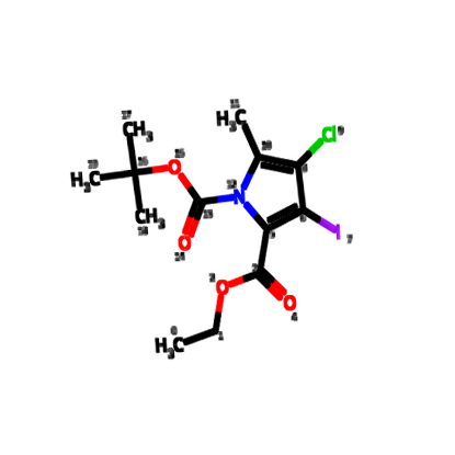 CCOC(=O)c1c(I)c(Cl)c(C)n1C(=O)OC(C)(C)C